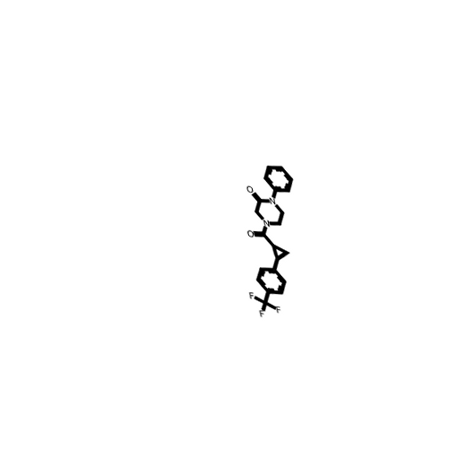 O=C(C1CC1c1ccc(C(F)(F)F)cc1)N1CCN(c2ccccc2)C(=O)C1